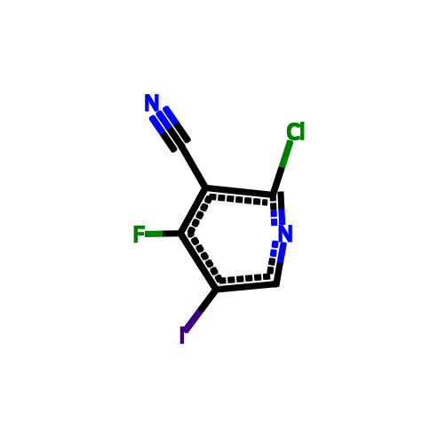 N#Cc1c(Cl)ncc(I)c1F